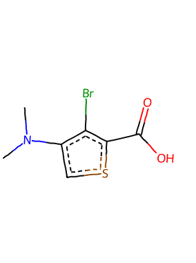 CN(C)c1csc(C(=O)O)c1Br